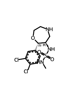 CNS(=O)(=O)N[C@@H]1CNCCO[C@H]1c1ccc(Cl)c(Cl)c1